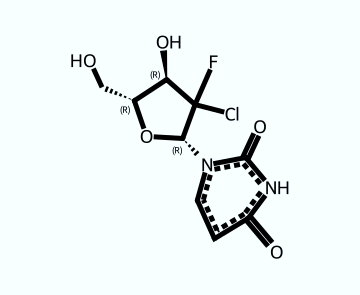 O=c1ccn([C@@H]2O[C@H](CO)[C@@H](O)C2(F)Cl)c(=O)[nH]1